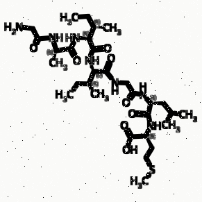 CC[C@H](C)[C@H](NC(=O)[C@H](C)NC(=O)CN)C(=O)N[C@H](C(=O)NCC(=O)N[C@@H](CC(C)C)C(=O)N[C@@H](CCSC)C(=O)O)[C@@H](C)CC